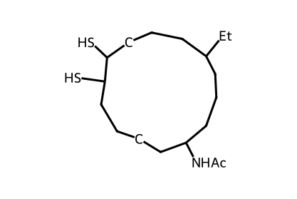 CCC1CCCC(NC(C)=O)CCCCC(S)C(S)CCC1